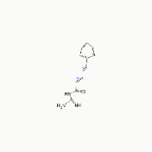 N=C(N)NC(=O)/C=C/C=C/c1ccccc1